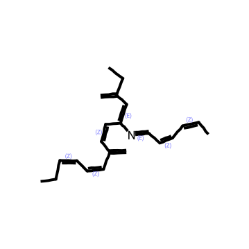 C=C(/C=C\C=C/CC)\C=C/C(=C\C(=C)CC)/N=C/C=C\C=C/C